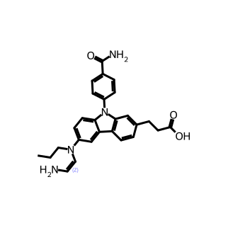 CCCN(/C=C\N)c1ccc2c(c1)c1ccc(CCC(=O)O)cc1n2-c1ccc(C(N)=O)cc1